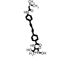 C[C@@H](O)C(NC(=O)c1ccc(C#CC#Cc2ccc(NC(=O)CN(C)C)cc2)cc1)C(=O)NO